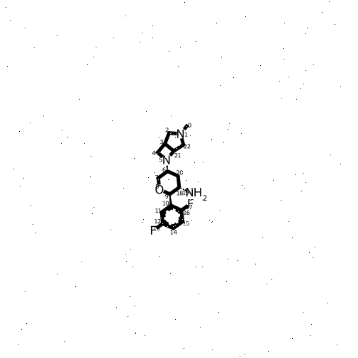 CN1CC2CN([C@H]3CO[C@H](c4cc(F)ccc4F)[C@@H](N)C3)C2C1